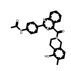 CC(=O)Nc1ccc(-c2nc(C(=O)N3CCc4c(ccc(C)c4O)C3)c3ccccc3n2)cc1